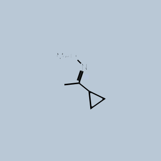 CO/N=C(\C)C1CC1